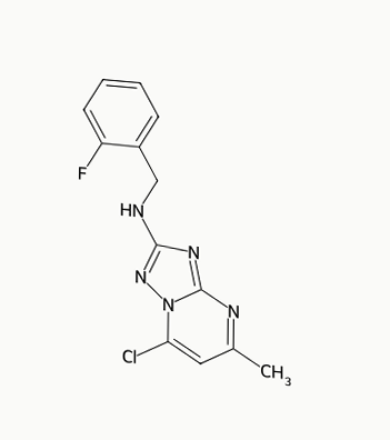 Cc1cc(Cl)n2nc(NCc3ccccc3F)nc2n1